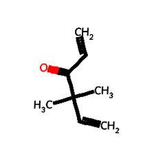 C=CC(=O)C(C)(C)C=C